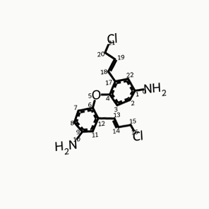 Nc1ccc(Oc2ccc(N)cc2C=CCCl)c(C=CCCl)c1